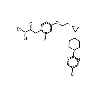 CCN(CC)C(=O)Cc1ccc(OCC[C@@H]2C[C@@H]2C2CCN(c3ncc(Cl)cn3)CC2)cc1F